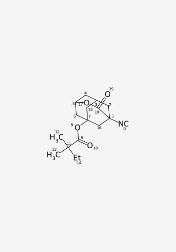 [C-]#[N+]C12CC3CC(CC(OC(=O)C(C)(C)CC)(C3)C1)OC2=O